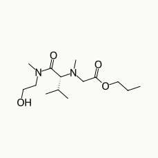 CCCOC(=O)CN(C)[C@@H](C(=O)N(C)CCO)C(C)C